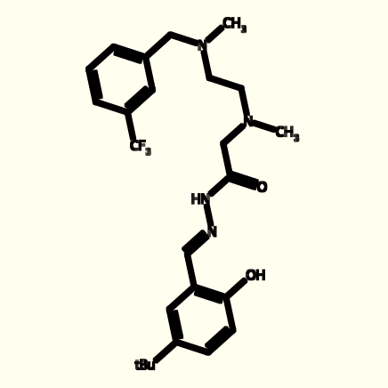 CN(CCN(C)Cc1cccc(C(F)(F)F)c1)CC(=O)N/N=C/c1cc(C(C)(C)C)ccc1O